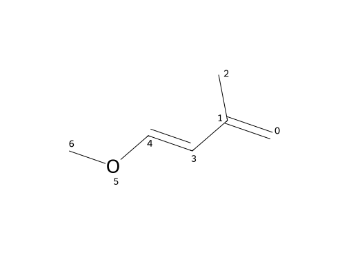 C=C(C)C=COC